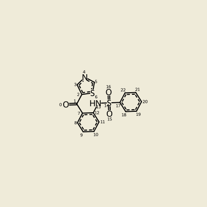 O=C(c1cncs1)c1ccccc1NS(=O)(=O)c1ccccc1